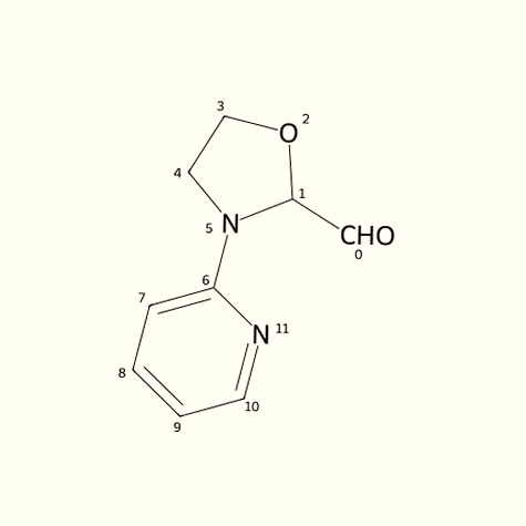 O=CC1OCCN1c1ccccn1